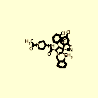 CC(=O)N1CCC(NC(=O)[C@H]2[C@H](c3cccc(Cl)c3F)[C@@](C#N)(c3ccc(Cl)cc3F)[C@@H](C)N2Cc2ccccc2F)CC1